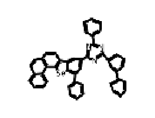 c1ccc(-c2cccc(-c3nc(-c4ccccc4)nc(-c4cc(-c5ccccc5)c5[se]c6c(ccc7ccc8ccccc8c76)c5c4)n3)c2)cc1